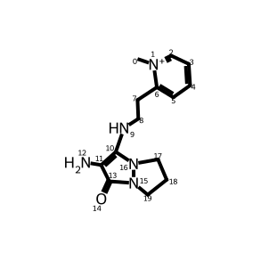 C[n+]1ccccc1CCNc1c(N)c(=O)n2n1CCC2